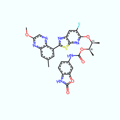 COc1cnc2c(-c3nc4cc(F)c(O[C@@H](C)[C@@H](C)OC(=O)Nc5ccc6[nH]c(=O)oc6c5)nc4s3)cc(C)cc2n1